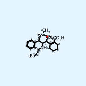 C[SiH](C)OC(c1ccccc1)C(NC(=O)OC(C)(C)C)C(C1=C(C(=O)O)CCCC1)C(C)(C)C